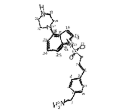 NCc1ccc(C=CCS(=O)(=O)n2ccc3c(N4CCNCC4)cccc32)cc1